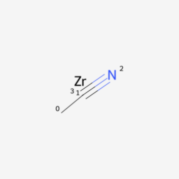 CC#N.[Zr]